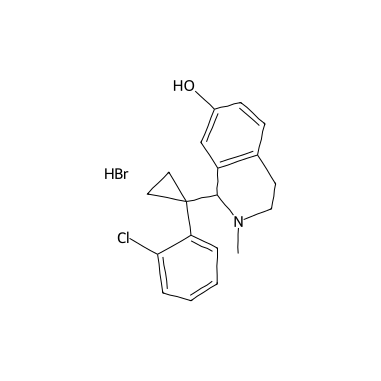 Br.CN1CCc2ccc(O)cc2C1C1(c2ccccc2Cl)CC1